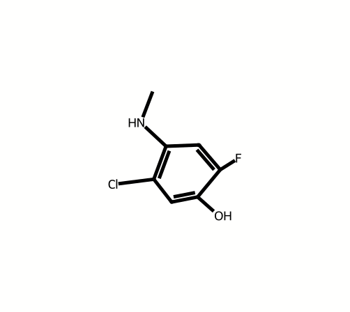 CNc1cc(F)c(O)cc1Cl